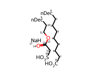 CCCCCCCCCCCCCCCCCC(=O)O.CCCCCCCCCCCCOC(=O)CS(=O)(=O)O.[NaH]